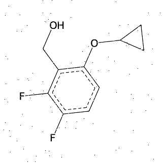 OCc1c(OC2CC2)ccc(F)c1F